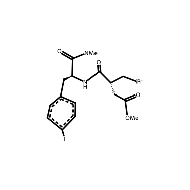 CNC(=O)[C@H](Cc1ccc(I)cc1)NC(=O)[C@@H](CC(=O)OC)CC(C)C